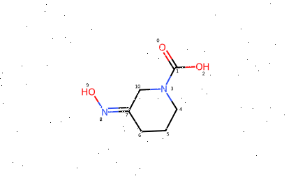 O=C(O)N1CCCC(=NO)C1